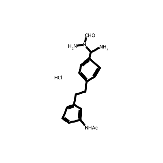 CC(=O)Nc1cccc(CCc2ccc(C(N)N(N)C=O)cc2)c1.Cl